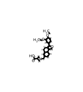 CCOc1ccc(-c2onc3c2CCc2cc(CN4CC(C(=O)O)C4)ccc2-3)cc1OCC